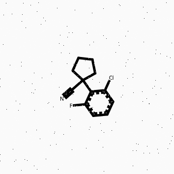 N#CC1(c2c(F)cccc2Cl)CCCC1